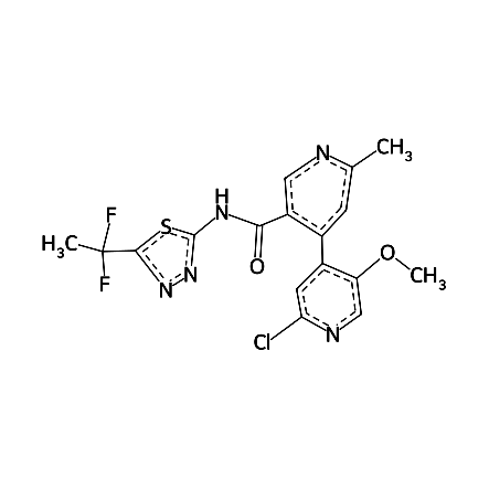 COc1cnc(Cl)cc1-c1cc(C)ncc1C(=O)Nc1nnc(C(C)(F)F)s1